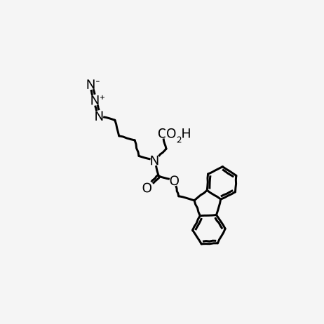 [N-]=[N+]=NCCCCN(CC(=O)O)C(=O)OCC1c2ccccc2-c2ccccc21